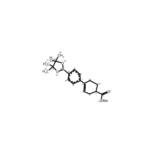 COC(=O)C1CC=C(c2ccc(B3OC(C)(C)C(C)(C)O3)cc2)CC1